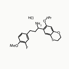 CCCOc1cc2c(cc1C(N)CCc1ccc(OC)c(F)c1)SCCO2.Cl